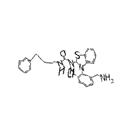 NCc1cccc(Cl)c1N1c2ccccc2SC1NC(=O)NCCCc1ccccc1